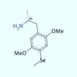 COc1cc([Se]C)c(OC)cc1C[C@@H](C)N